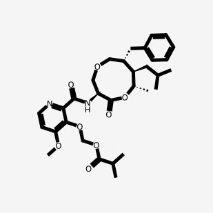 COc1ccnc(C(=O)N[C@H]2COC[C@H](Cc3ccccc3)[C@@H](CC(C)C)[C@H](C)OC2=O)c1OCOC(=O)C(C)C